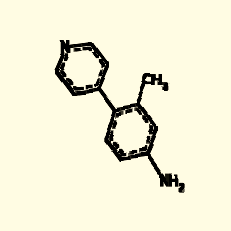 Cc1cc(N)ccc1-c1ccncc1